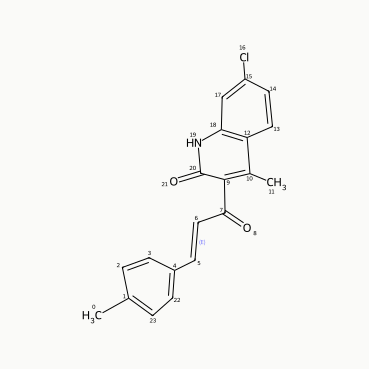 Cc1ccc(/C=C/C(=O)c2c(C)c3ccc(Cl)cc3[nH]c2=O)cc1